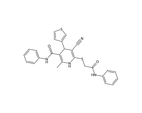 CC1=C(C(=O)Nc2ccccc2)C(c2ccsc2)C(C#N)=C(SCC(=O)Nc2ccccc2)N1